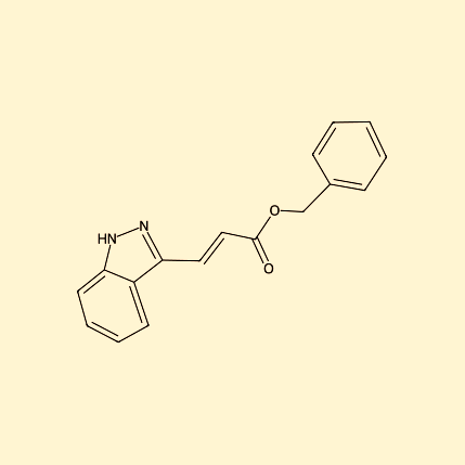 O=C(/C=C/c1n[nH]c2ccccc12)OCc1ccccc1